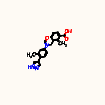 Cc1cc(N(C=O)Cc2cccc(C(=O)O)c2C)ccc1-c1cn[nH]c1